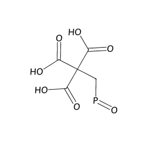 O=PCC(C(=O)O)(C(=O)O)C(=O)O